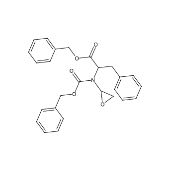 O=C(OCc1ccccc1)C(Cc1ccccc1)N(C(=O)OCc1ccccc1)C1CO1